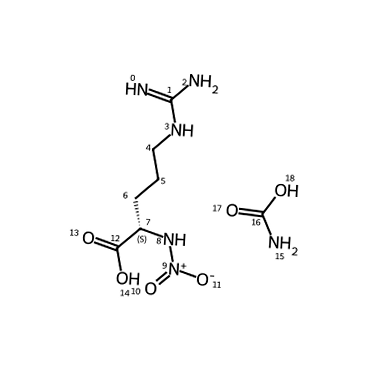 N=C(N)NCCC[C@H](N[N+](=O)[O-])C(=O)O.NC(=O)O